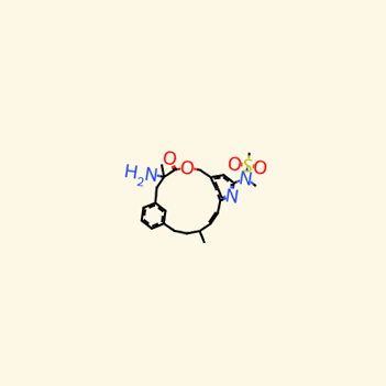 CC1C=Cc2cc(cc(N(C)S(C)(=O)=O)n2)COC(=O)C(C)(N)Cc2cccc(c2)CC1